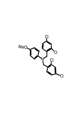 COc1ccc(N(Cc2ccc(Cl)cc2Cl)Cc2ccc(Cl)cc2Cl)cc1